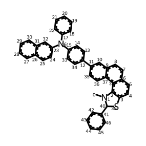 CN1c2c(ccc3ccc4cc(-c5ccc(N(c6ccccc6)c6ccc7ccccc7c6)cc5)ccc4c23)SC1c1ccccc1